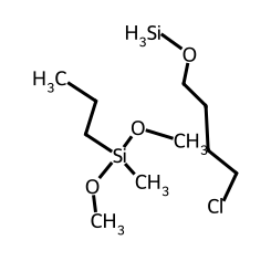 CCC[Si](C)(OC)OC.[SiH3]OCCCCCl